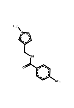 Cn1cc(CNC(=O)c2ccc(N)cc2)cn1